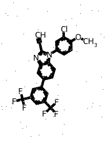 C#Cc1nc2cc(-c3cc(C(F)(F)F)cc(C(F)(F)F)c3)ccc2n1-c1ccc(OC)c(Cl)c1